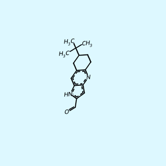 CC(C)(C)C1CCc2nc3cc(C=O)[nH]c3cc2C1